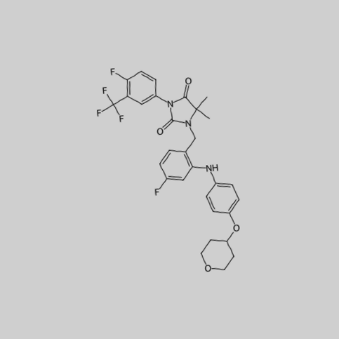 CC1(C)C(=O)N(c2ccc(F)c(C(F)(F)F)c2)C(=O)N1Cc1ccc(F)cc1Nc1ccc(OC2CCOCC2)cc1